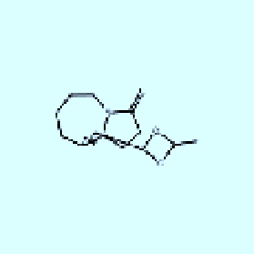 CC1OC(C2=CCC3CCCCN4C(=O)CCC234)O1